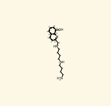 NCCCCNCCCCNCc1ccc2cccc(O)c2n1